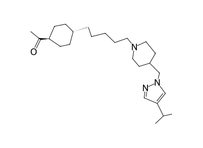 CC(=O)[C@H]1CC[C@H](CCCCCN2CCC(Cn3cc(C(C)C)cn3)CC2)CC1